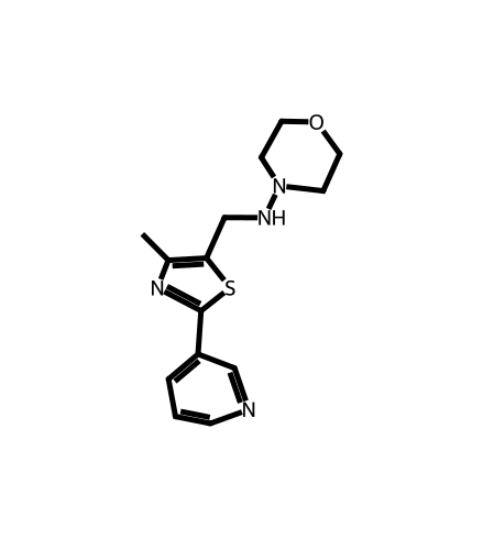 Cc1nc(-c2cccnc2)sc1CNN1CCOCC1